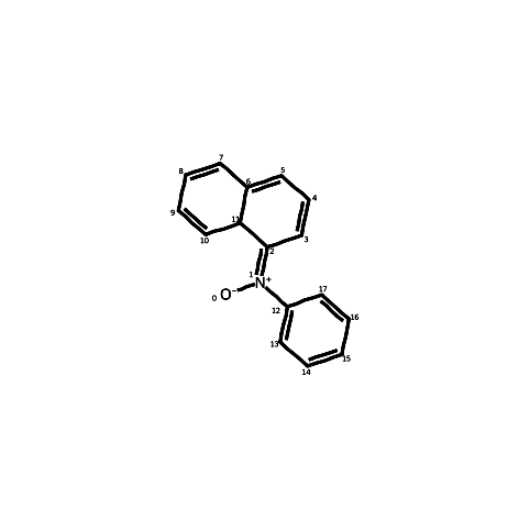 [O-][N+](=C1C=CC=C2C=CC=CC21)c1ccccc1